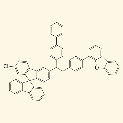 Clc1ccc2c(c1)C1(c3ccccc3-c3ccccc31)c1ccc(C(Cc3ccc(-c4cccc5c4oc4ccccc45)cc3)c3ccc(-c4ccccc4)cc3)cc1-2